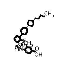 CCCCC[C@H]1CC[C@H](c2ccc(-c3cccc(S(=O)(=O)Nc4ccc(C(=O)O)cc4C)c3F)cc2)CC1